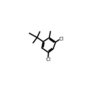 Cc1c(Cl)cc(Cl)cc1C(C)(C)C